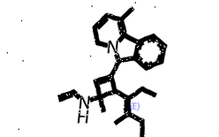 C=CNC1(C)C=C(C2c3ccccc3C3=C(C)C=CCN32)C1/C(CC)=C(\C)CC